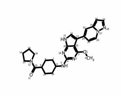 COc1nc(NC2CCC(C(=O)N3CCCC3)CC2)nc2[nH]cc(-c3ccn4nccc4c3)c12